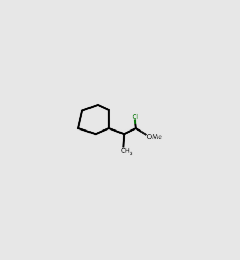 COC(Cl)C(C)C1CCCCC1